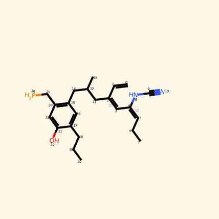 C=C/C(=C\C(=C/CC)NC#N)CC(C)Cc1cc(CCC)c(O)cc1CP